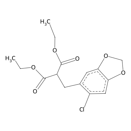 CCOC(=O)C(Cc1cc2c(cc1Cl)OCO2)C(=O)OCC